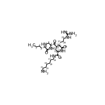 CCCC[C@@H]1NC[C@H](C(=O)C2C[C@H](C(=O)NCCCCCCN)NC(=O)[C@H]2CCCNC(=N)N)NC1=O